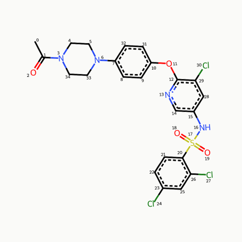 CC(=O)N1CCN(c2ccc(Oc3ncc(NS(=O)(=O)c4ccc(Cl)cc4Cl)cc3Cl)cc2)CC1